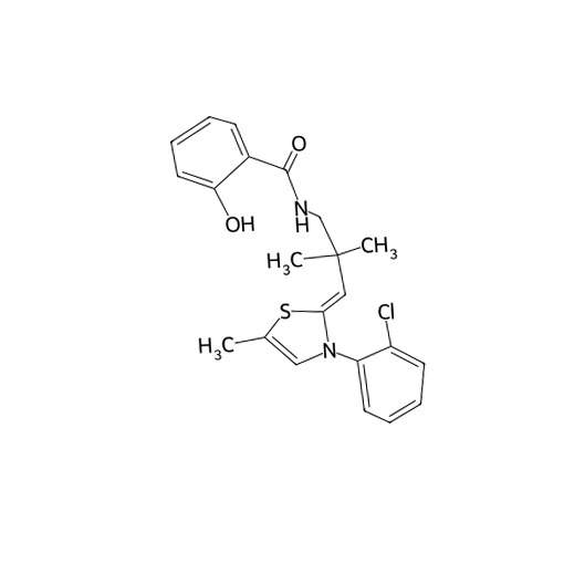 CC1=CN(c2ccccc2Cl)C(=CC(C)(C)CNC(=O)c2ccccc2O)S1